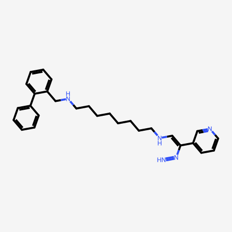 N=N/C(=C\NCCCCCCCCNCc1ccccc1-c1ccccc1)c1cccnc1